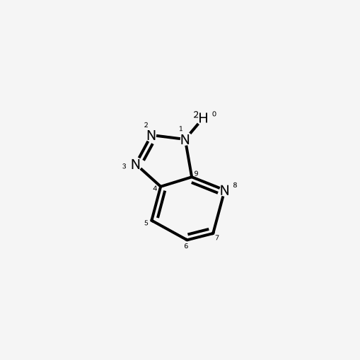 [2H]n1nnc2cccnc21